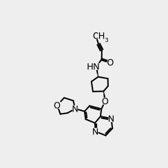 CC#CC(=O)N[C@H]1CC[C@@H](Oc2cc(N3CCOCC3)cc3nccnc23)CC1